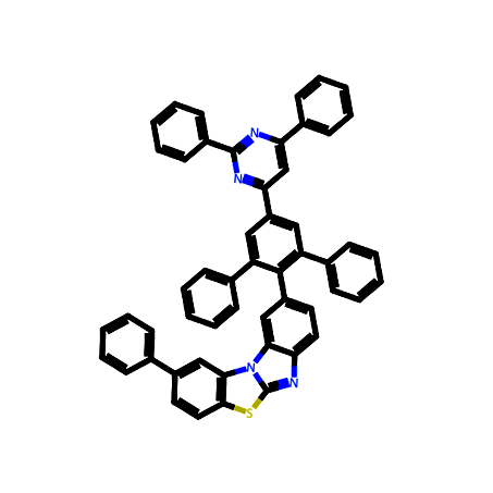 c1ccc(-c2ccc3sc4nc5ccc(-c6c(-c7ccccc7)cc(-c7cc(-c8ccccc8)nc(-c8ccccc8)n7)cc6-c6ccccc6)cc5n4c3c2)cc1